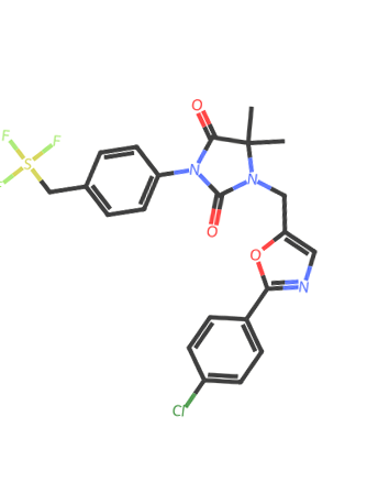 CC1(C)C(=O)N(c2ccc(CS(F)(F)F)cc2)C(=O)N1Cc1cnc(-c2ccc(Cl)cc2)o1